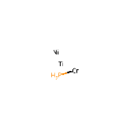 [Ni].[PH2][Cr].[Ti]